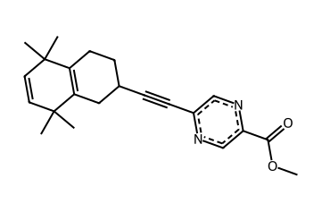 COC(=O)c1cnc(C#CC2CCC3=C(C2)C(C)(C)C=CC3(C)C)cn1